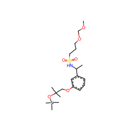 COCOCCCS(=O)(=O)NC(C)c1cccc(OCC(C)(C)O[Si](C)(C)C)c1